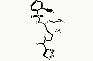 CCC[C@@H](NS(=O)(=O)c1ccccc1C#N)[C@H]1CN(C(=O)c2cnn[nH]2)C[C@H]1C